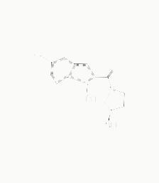 N[C@@H]1CCN(C(=O)c2cc3cc(Cl)ccc3n2P)C1